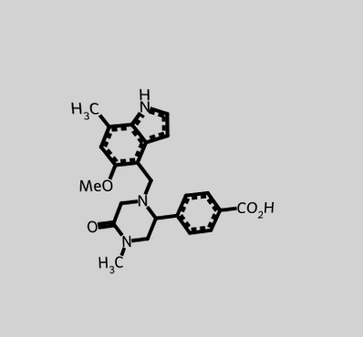 COc1cc(C)c2[nH]ccc2c1CN1CC(=O)N(C)CC1c1ccc(C(=O)O)cc1